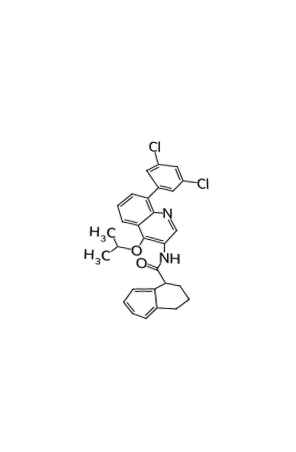 CC(C)Oc1c(NC(=O)C2CCCc3ccccc32)cnc2c(-c3cc(Cl)cc(Cl)c3)cccc12